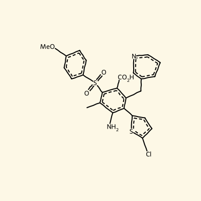 COc1ccc(S(=O)(=O)c2c(C)c(N)c(-c3ccc(Cl)s3)c(Cc3cccnc3)c2C(=O)O)cc1